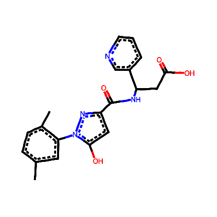 Cc1ccc(C)c(-n2nc(C(=O)NC(CC(=O)O)c3cccnc3)cc2O)c1